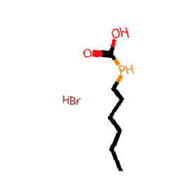 Br.CCCCCCPC(=O)O